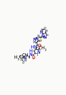 Cc1ncc(C(=O)NCCN2CCCC2(C)C)cc1NC(=O)c1cnn2cc(-n3ncc4cccnc43)sc12